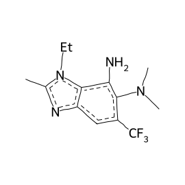 CCn1c(C)nc2cc(C(F)(F)F)c(N(C)C)c(N)c21